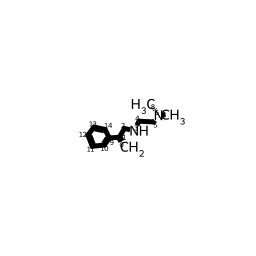 C=C(CNCCN(C)C)c1ccccc1